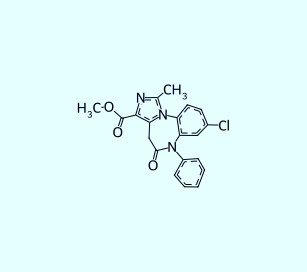 COC(=O)c1nc(C)n2c1CC(=O)N(c1ccccc1)c1cc(Cl)ccc1-2